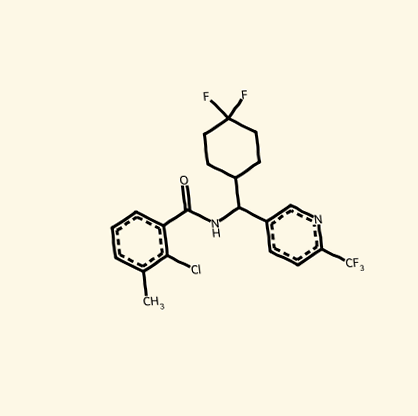 Cc1cccc(C(=O)NC(c2ccc(C(F)(F)F)nc2)C2CCC(F)(F)CC2)c1Cl